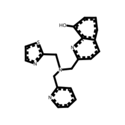 Oc1cccc2ccc(CN(Cc3ccccn3)Cc3nccs3)nc12